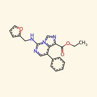 CCOC(=O)c1ncn2c(NCc3ccco3)ncc(-c3ccccc3)c12